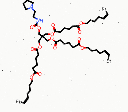 CC/C=C\CCCCOC(=O)CCCCC(=O)OCC(COC(=O)CCCCC(=O)OCCCC/C=C\CC)(COC(=O)CCCCC(=O)OCCCC/C=C\CC)COC(=O)NCCN1CCCC1